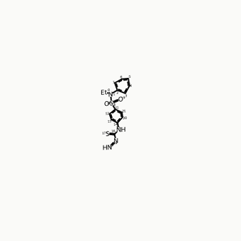 CCN(c1ccccc1)S(=O)(=O)c1ccc(NC(=S)N=N)cc1